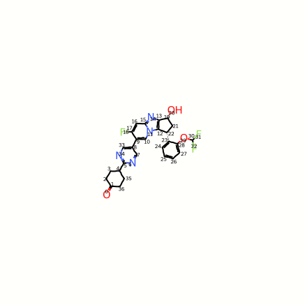 O=C1CCC(c2ncc(-c3cn4c5c(nc4cc3F)[C@H](O)C[C@@H]5c3ccccc3OC(F)F)cn2)CC1